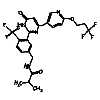 CC(C)C(=O)NCc1ccc(C(F)(F)F)c(-c2nc(-c3ccc(OCCC(F)(F)F)nc3)cc(=O)[nH]2)c1